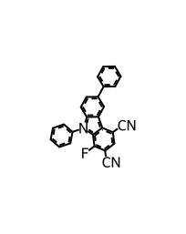 N#Cc1cc(C#N)c2c3cc(-c4ccccc4)ccc3n(-c3ccccc3)c2c1F